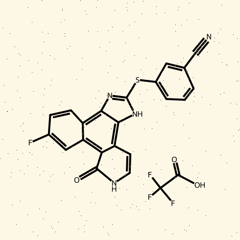 N#Cc1cccc(Sc2nc3c4ccc(F)cc4c4c(=O)[nH]ccc4c3[nH]2)c1.O=C(O)C(F)(F)F